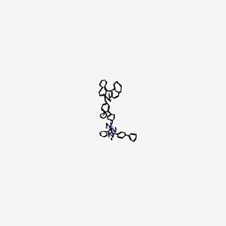 C=N/C(=N\C(=N/Cc1ccc2c(c1)oc1ccc(-n3c4ccc5ccccc5c4c4c5ccccc5ccc43)cc12)c1ccccc1)c1ccc(-c2ccccc2)cc1